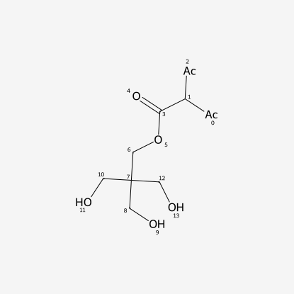 CC(=O)C(C(C)=O)C(=O)OCC(CO)(CO)CO